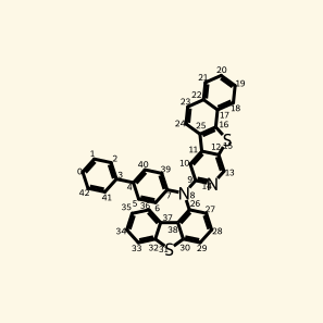 c1ccc(-c2ccc(N(c3cc4c(cn3)sc3c5ccccc5ccc43)c3cccc4sc5ccccc5c34)cc2)cc1